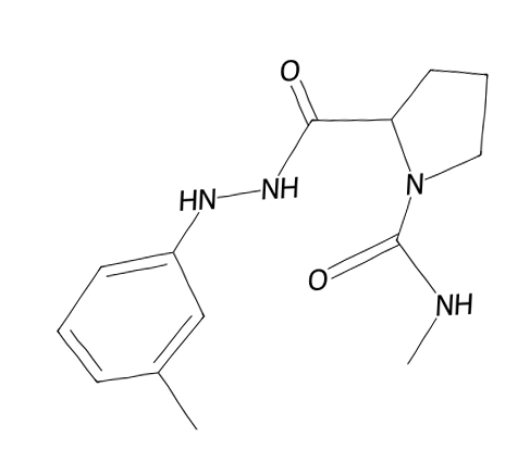 CNC(=O)N1CCCC1C(=O)NNc1cccc(C)c1